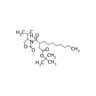 CCCCCCCCC(CC(=O)OC(C)(C)C)C(=O)N1C(=O)OCC1C(C)C